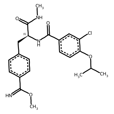 CNC(=O)[C@H](Cc1ccc(C(=N)OC)cc1)NC(=O)c1ccc(OC(C)C)c(Cl)c1